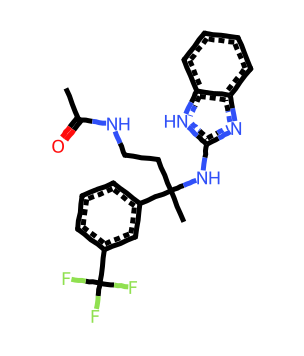 CC(=O)NCCC(C)(Nc1nc2ccccc2[nH]1)c1cccc(C(F)(F)F)c1